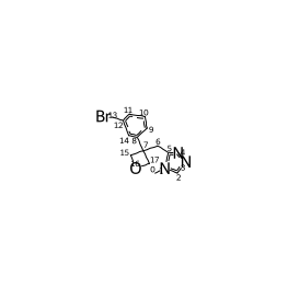 Cn1cnnc1CC1(c2cccc(Br)c2)COC1